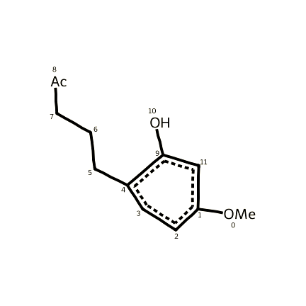 COc1ccc(CCCC(C)=O)c(O)c1